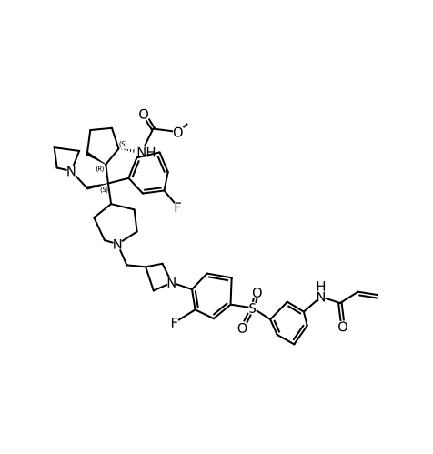 C=CC(=O)Nc1cccc(S(=O)(=O)c2ccc(N3CC(CN4CCC([C@@](CN5CCC5)(c5cccc(F)c5)[C@H]5CCC[C@@H]5NC(=O)OC)CC4)C3)c(F)c2)c1